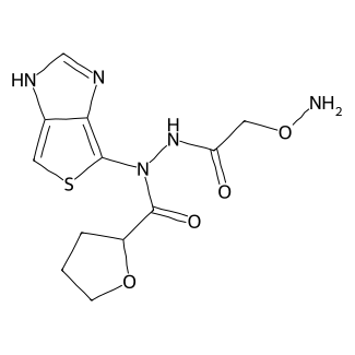 NOCC(=O)NN(C(=O)C1CCCO1)c1scc2[nH]cnc12